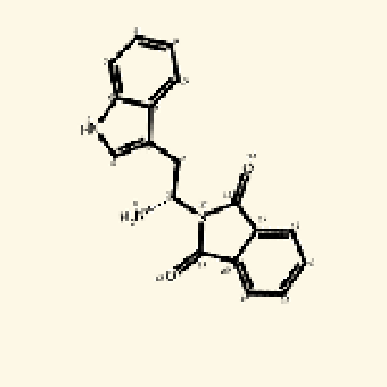 N[C@H](Cc1c[nH]c2ccccc12)N1C(=O)c2ccccc2C1=O